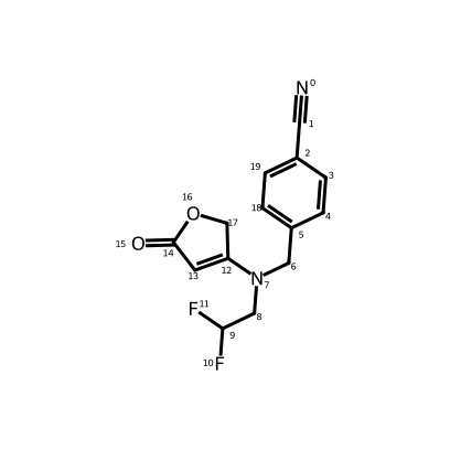 N#Cc1ccc(CN(CC(F)F)C2=CC(=O)OC2)cc1